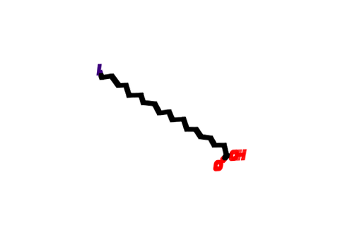 O=C(O)CCCCCCCCCCCCCCCCCCI